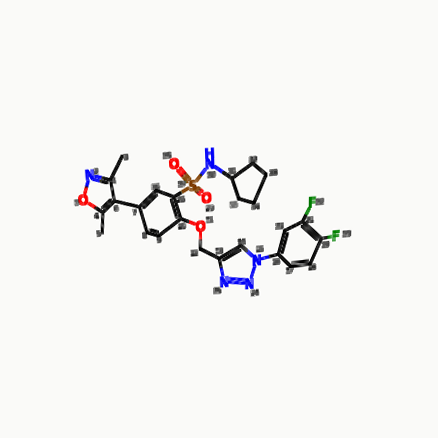 Cc1noc(C)c1-c1ccc(OCc2cn(-c3ccc(F)c(F)c3)nn2)c(S(=O)(=O)NC2CCCC2)c1